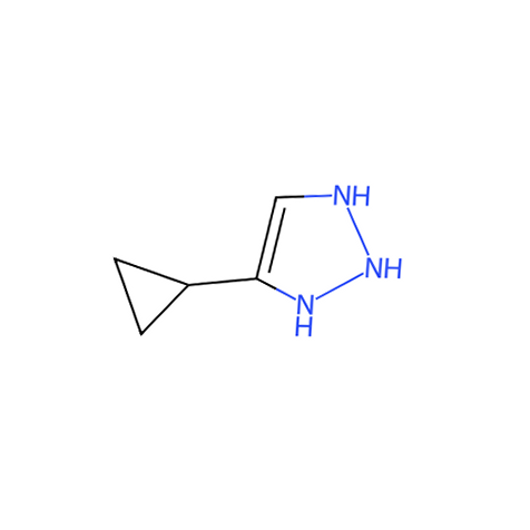 C1=C(C2CC2)NNN1